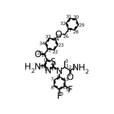 CC(C(N)=O)N(c1ccc(F)c(F)c1)c1nc(N)c(C(=O)c2ccc(OCc3ccccc3)cc2)s1